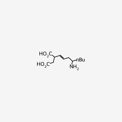 CCCCC(N)CC=CC(CC(=O)O)C(=O)O